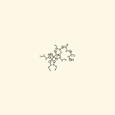 CCCOC(OCCC)(OCCC)C(O)(OCCC)C(OC)OC(C)COC(C)COC(C)CO